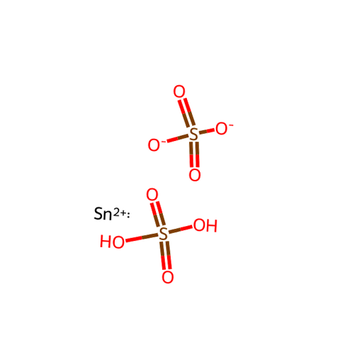 O=S(=O)(O)O.O=S(=O)([O-])[O-].[Sn+2]